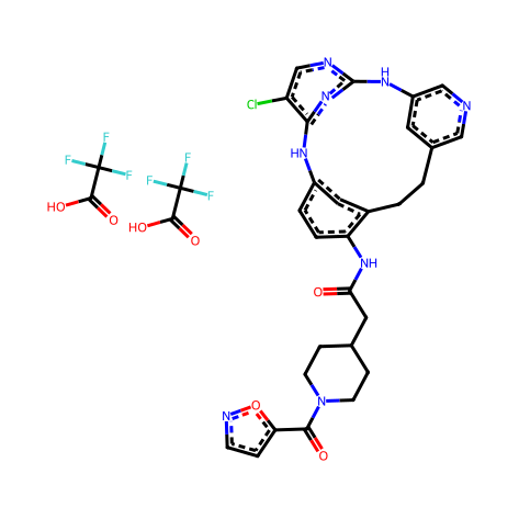 O=C(CC1CCN(C(=O)c2ccno2)CC1)Nc1ccc2cc1CCc1cncc(c1)Nc1ncc(Cl)c(n1)N2.O=C(O)C(F)(F)F.O=C(O)C(F)(F)F